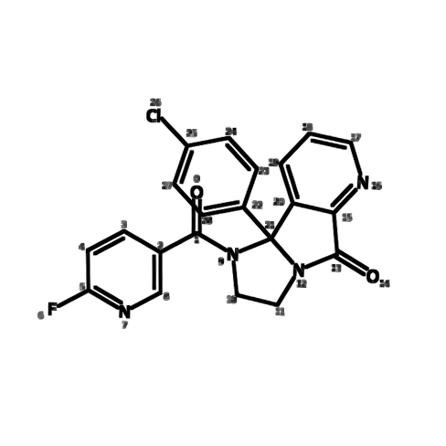 O=C(c1ccc(F)nc1)N1CCN2C(=O)c3ncccc3C12c1ccc(Cl)cc1